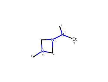 CCN(C)N1CN(C)C1